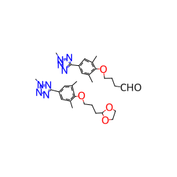 Cc1cc(-c2nnn(C)n2)cc(C)c1OCCCC1OCCO1.Cc1cc(-c2nnn(C)n2)cc(C)c1OCCCC=O